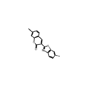 Cc1ccc2cc(-c3nc4ccc(C)cc4s3)c(=O)oc2c1